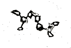 c1ccc(-c2cc(-c3ccccc3)nc(-c3ccc4oc5ccc(-c6cccc(-n7c8ccccc8n8c9ccccc9nc78)c6)cc5c4c3)c2)cc1